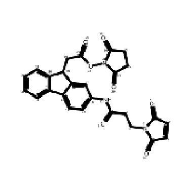 O=C(CCN1C(=O)C=CC1=O)Nc1ccc2c(c1)C(CC(=O)ON1C(=O)CCC1=O)c1ccccc1-2